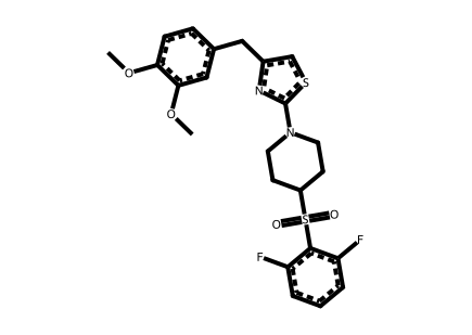 COc1ccc(Cc2csc(N3CCC(S(=O)(=O)c4c(F)cccc4F)CC3)n2)cc1OC